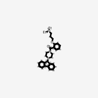 CCN(CC)CCCOc1ccccc1C(=O)N1CCN(C2c3ccccc3-c3ccccc32)CC1